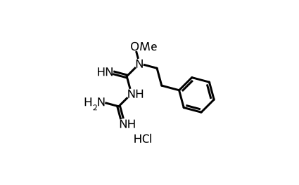 CON(CCc1ccccc1)C(=N)NC(=N)N.Cl